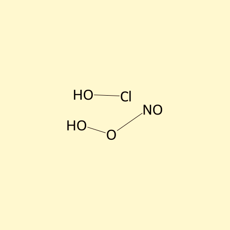 O=NOO.OCl